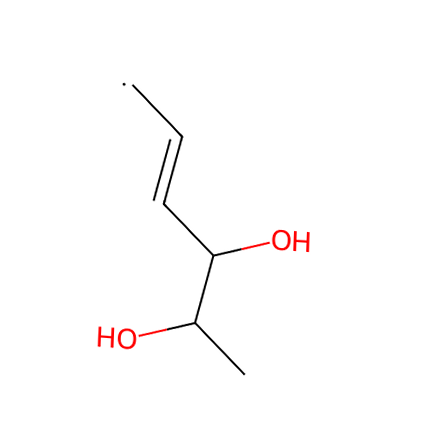 [CH2]C=CC(O)C(C)O